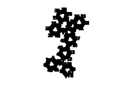 c1ccc(N(c2ccncc2)c2ccc(-c3ccc4c5c6ccccc6n(-c6ccccc6)c5n(-c5ccccc5)c4c3)cc2)cc1